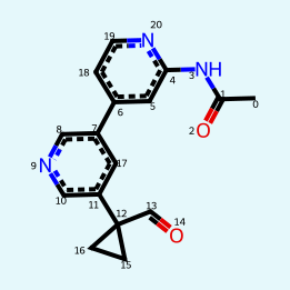 CC(=O)Nc1cc(-c2cncc(C3(C=O)CC3)c2)ccn1